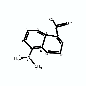 CN(C)c1cccc2c(C(=O)Cl)cccc12